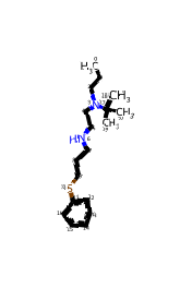 CCCN(CCNCCCSc1ccccc1)C(C)(C)C